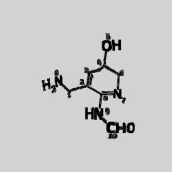 NCC1=CC(O)CN=C1NC=O